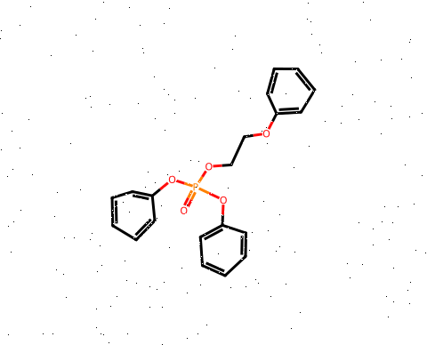 O=P(OCCOc1ccccc1)(Oc1ccccc1)Oc1ccccc1